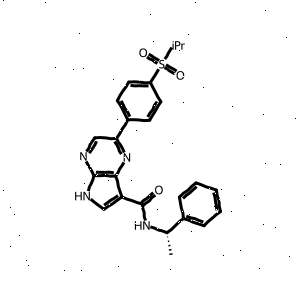 CC(C)S(=O)(=O)c1ccc(-c2cnc3[nH]cc(C(=O)N[C@@H](C)c4ccccc4)c3n2)cc1